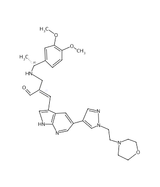 COc1ccc([C@@H](C)NC/C(C=O)=C/c2c[nH]c3ncc(-c4cnn(CCN5CCOCC5)c4)cc23)cc1OC